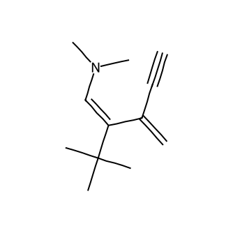 C#CC(=C)/C(=C\N(C)C)C(C)(C)C